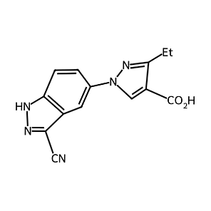 CCc1nn(-c2ccc3[nH]nc(C#N)c3c2)cc1C(=O)O